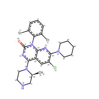 CCc1cccc(CC)c1-n1c(=O)nc(N2CCNC[C@@H]2C)c2cc(Cl)c(N3CCCCC3)nc21